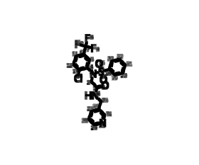 O=C(CN(c1cc(C(F)(F)F)ccc1Cl)S(=O)(=O)c1ccccc1)NCc1cccnc1